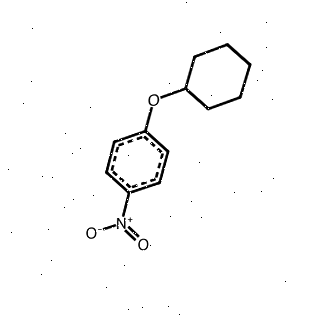 O=[N+]([O-])c1ccc(OC2CCCCC2)cc1